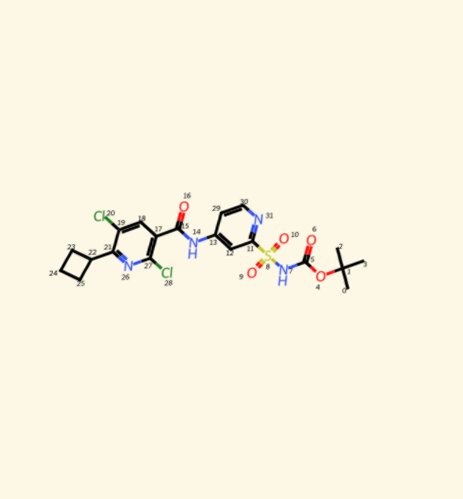 CC(C)(C)OC(=O)NS(=O)(=O)c1cc(NC(=O)c2cc(Cl)c(C3CCC3)nc2Cl)ccn1